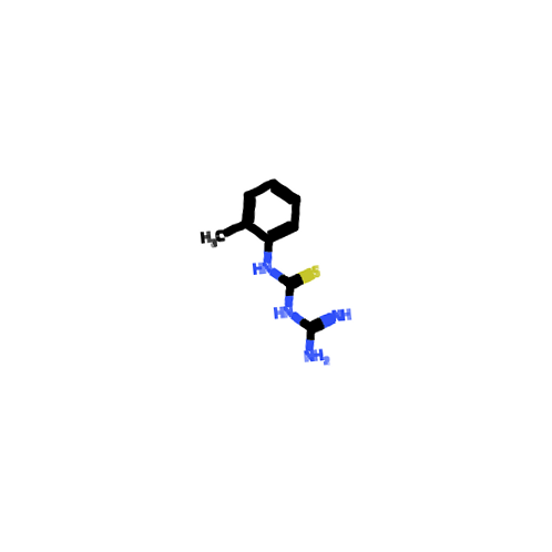 Cc1ccccc1NC(=S)NC(=N)N